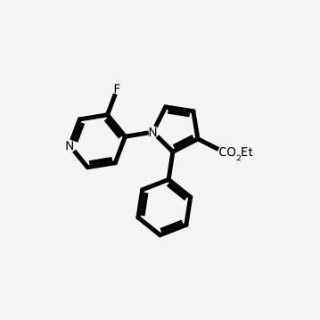 CCOC(=O)c1ccn(-c2ccncc2F)c1-c1ccccc1